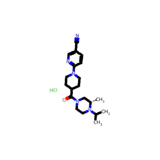 CC(C)N1CCN(C(=O)C2CCN(c3ccc(C#N)cn3)CC2)C[C@@H]1C.Cl